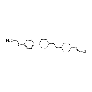 CCOc1ccc(C2CCC(CCC3CCC(/C=C/Cl)CC3)CC2)cc1